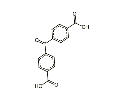 O=C(O)c1ccc([P](=O)c2ccc(C(=O)O)cc2)cc1